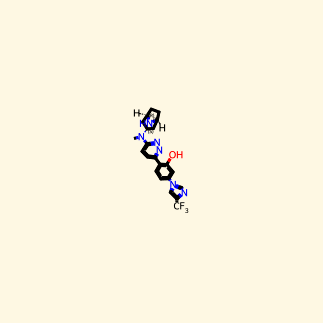 CN(c1ccc(-c2ccc(-n3cnc(C(F)(F)F)c3)cc2O)nn1)[C@@H]1C[C@H]2CC[C@@H](C1)N2